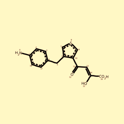 Nc1ccc(Cc2cscc2C(=O)C=C(O)C(=O)O)cc1